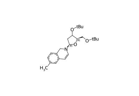 Cc1ccc2c(c1)C=CN([C@H]1CC(OC(C)(C)C)[C@@H](COC(C)(C)C)O1)C2